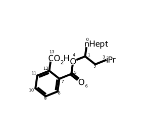 CCCCCCCC(CC(C)C)OC(=O)c1ccccc1C(=O)O